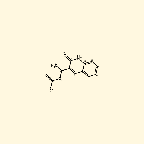 CCC(=O)OC(C)c1cc2ccccc2[nH]c1=O